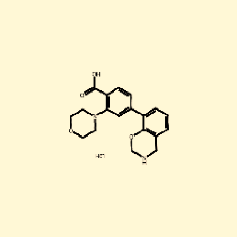 Cl.O=C(O)c1ccc(-c2cccc3c2OCNC3)cc1N1CCOCC1